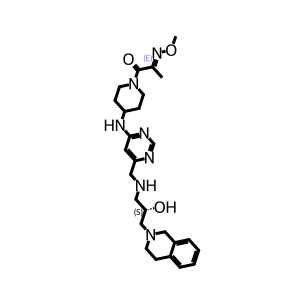 CO/N=C(\C)C(=O)N1CCC(Nc2cc(CNC[C@H](O)CN3CCc4ccccc4C3)ncn2)CC1